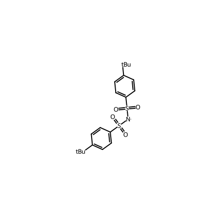 CC(C)(C)c1ccc(S(=O)(=O)[N]S(=O)(=O)c2ccc(C(C)(C)C)cc2)cc1